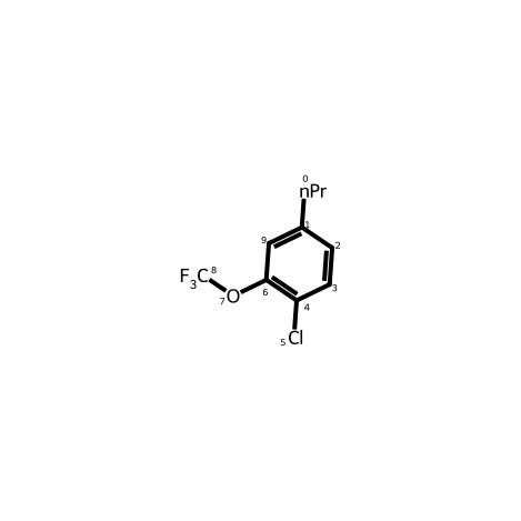 CCCc1ccc(Cl)c(OC(F)(F)F)c1